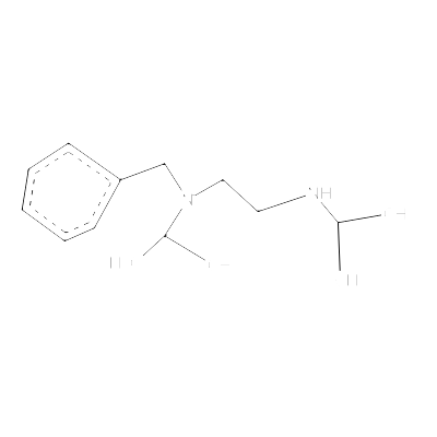 CC(C)NCCN(Cc1ccccc1)C(C)C